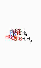 CC#CCOc1ccc(S(=O)(=O)CC2(C(=O)NO)CCN(C(=O)C3COC(C)(C)OC3C)CC2)cc1